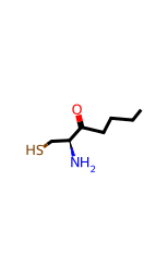 CCCCC(=O)[C@@H](N)CS